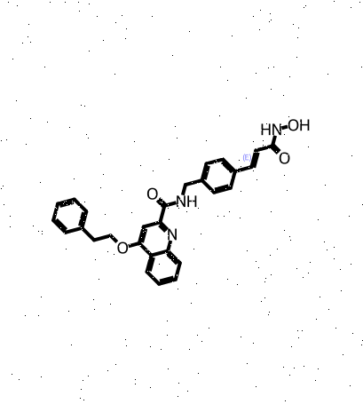 O=C(/C=C/c1ccc(CNC(=O)c2cc(OCCc3ccccc3)c3ccccc3n2)cc1)NO